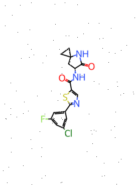 O=C(N[C@H]1CC2(CC2)NC1=O)c1cnc(-c2cc(F)cc(Cl)c2)s1